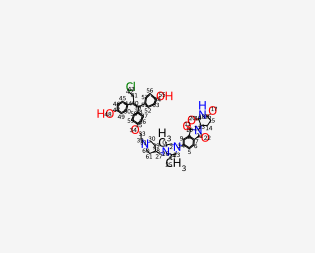 CC1CN(c2ccc3c(c2)C(=O)N(C2CCC(=O)NC2=O)C3=O)CC(C)N1CC1CCN(CCOc2ccc(C(=C(CCCl)c3ccc(O)cc3)c3ccc(O)cc3)cc2)CC1